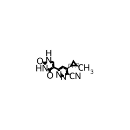 C[C@H]1C[C@@H]1c1cc(-c2c[nH]c(=O)[nH]c2=O)nnc1C#N